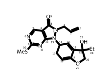 C=CCn1c(=O)c2cnc(SC)nc2n1C1C=C2C(=CC1)OCC2(O)CC